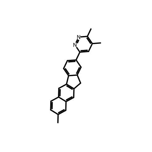 Cc1ccc2cc3c(cc2c1)Cc1cc(-c2cc(C)c(C)nn2)ccc1-3